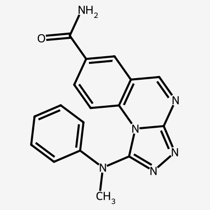 CN(c1ccccc1)c1nnc2ncc3cc(C(N)=O)ccc3n12